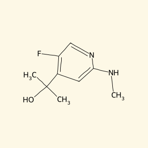 CNc1cc(C(C)(C)O)c(F)cn1